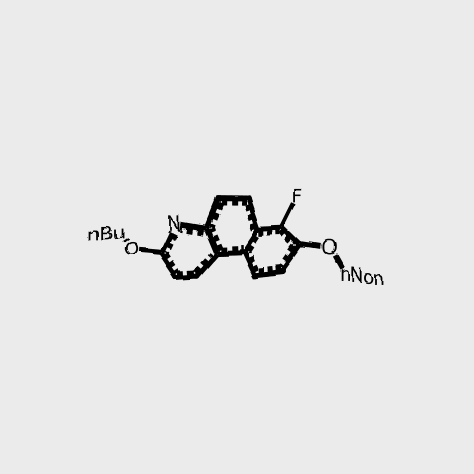 CCCCCCCCCOc1ccc2c(ccc3nc(OCCCC)ccc32)c1F